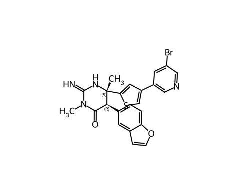 CN1C(=N)N[C@](C)(c2cc(-c3cncc(Br)c3)cs2)[C@@H](c2ccc3occc3c2)C1=O